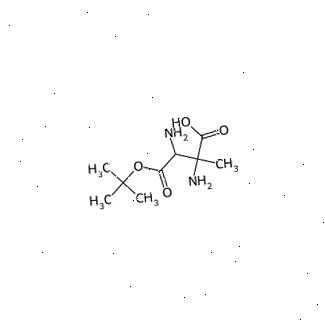 CC(C)(C)OC(=O)C(N)C(C)(N)C(=O)O